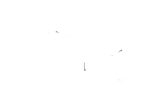 C[C@]12CCC(=O)C=C1CC[C@@H]1[C@@H]2CC[C@]2(C)C(=O)NC[C@@H]12